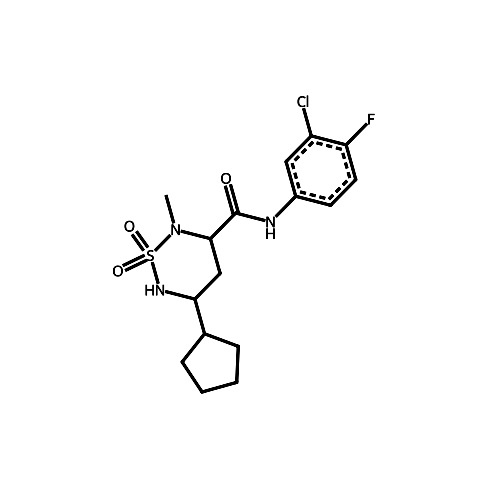 CN1C(C(=O)Nc2ccc(F)c(Cl)c2)CC(C2CCCC2)NS1(=O)=O